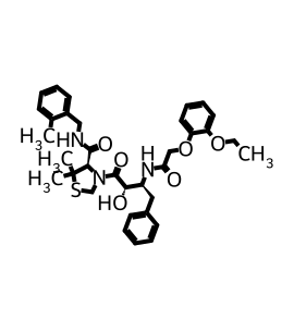 CCOc1ccccc1OCC(=O)N[C@@H](Cc1ccccc1)[C@H](O)C(=O)N1CSC(C)(C)[C@H]1C(=O)NCc1ccccc1C